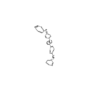 c1ccc(Sc2ccc(OOc3ccc(Sc4ccccc4)cc3)cc2)cc1